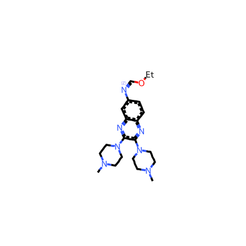 CCO/C=N\c1ccc2nc(N3CCN(C)CC3)c(N3CCN(C)CC3)nc2c1